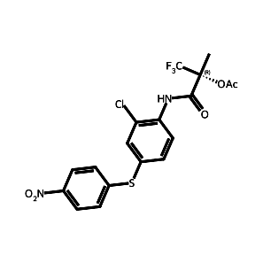 CC(=O)O[C@](C)(C(=O)Nc1ccc(Sc2ccc([N+](=O)[O-])cc2)cc1Cl)C(F)(F)F